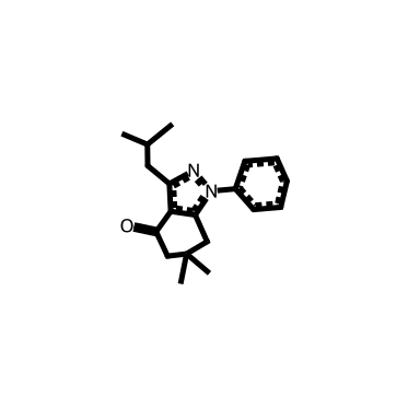 CC(C)Cc1nn(-c2ccccc2)c2c1C(=O)CC(C)(C)C2